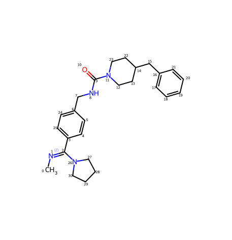 C/N=C(/c1ccc(CNC(=O)N2CCC(Cc3ccccc3)CC2)cc1)N1CCCC1